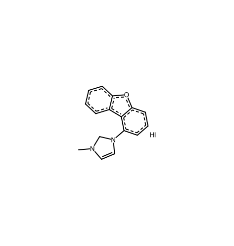 CN1C=CN(c2cccc3oc4ccccc4c23)C1.I